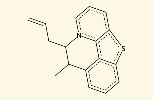 C=CCC1C(C)c2cccc3sc4ccc[n+]1c4c23